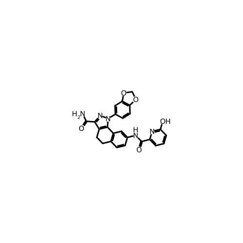 NC(=O)c1nn(-c2ccc3c(c2)OCO3)c2c1CCc1ccc(NC(=O)c3cccc(O)n3)cc1-2